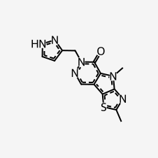 Cc1nc2c(s1)c1cnn(Cc3cc[nH]n3)c(=O)c1n2C